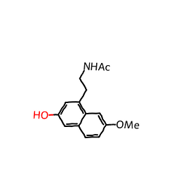 COc1ccc2cc(O)cc(CCNC(C)=O)c2c1